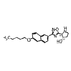 CCCCCOc1ccc2cc(-c3noc([C@H]4NCC[C@@H]4O)n3)ccc2c1